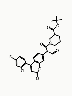 CC(C)(C)OC(=O)[C@H]1CCCN(C(=O)[C@@H](C=O)c2ccc3c(-c4ccc(F)cc4Cl)cc(=O)oc3c2)C1